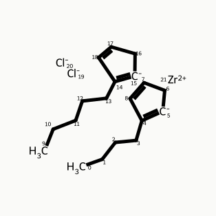 CCCCC1=[C-]CC=C1.CCCCCC1=[C-]CC=C1.[Cl-].[Cl-].[Zr+2]